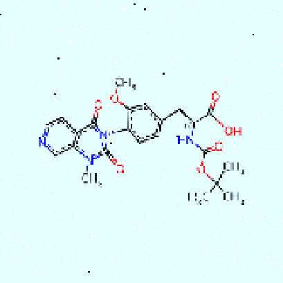 COc1cc(C[C@H](NC(=O)OC(C)(C)C)C(=O)O)ccc1-n1c(=O)c2ccncc2n(C)c1=O